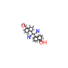 N#C/C(=C(/C#N)c1cccc2c(C=O)cccc12)c1cccc2c(O)cccc12